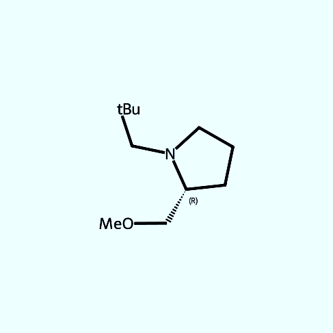 COC[C@H]1CCCN1CC(C)(C)C